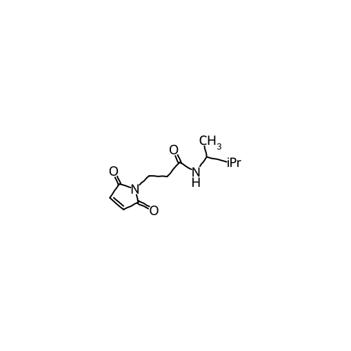 CC(C)C(C)NC(=O)CCN1C(=O)C=CC1=O